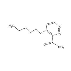 CCCCCCc1ccnnc1C(N)=O